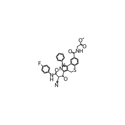 COC(=O)CNC(=O)c1ccc2c(c1)-c1c(c(C(=O)C(C#N)C(=O)Nc3ccc(F)cc3)nn1-c1ccccc1)CS2